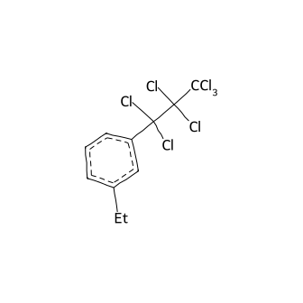 [CH2]Cc1cccc(C(Cl)(Cl)C(Cl)(Cl)C(Cl)(Cl)Cl)c1